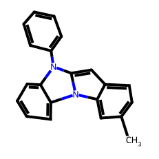 Cc1ccc2cc3n(-c4ccccc4)c4ccccc4n3c2c1